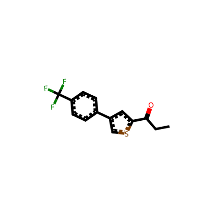 CCC(=O)c1cc(-c2ccc(C(F)(F)F)cc2)cs1